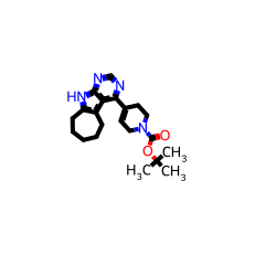 CC(C)(C)OC(=O)N1CC=C(c2ncnc3[nH]c4c(c23)CCCCC4)CC1